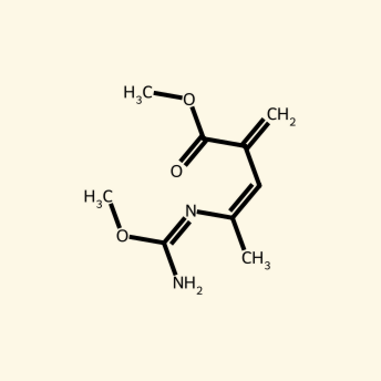 C=C(/C=C(C)\N=C(/N)OC)C(=O)OC